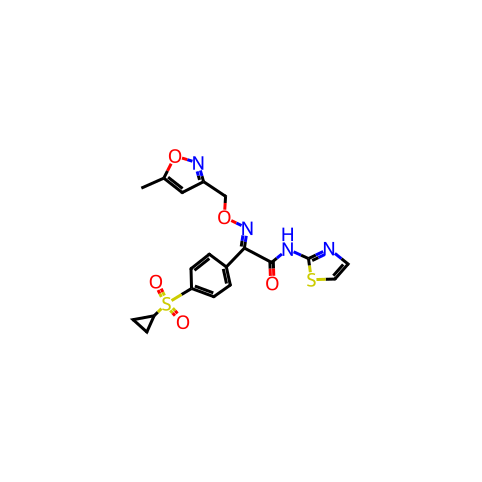 Cc1cc(CO/N=C(/C(=O)Nc2nccs2)c2ccc(S(=O)(=O)C3CC3)cc2)no1